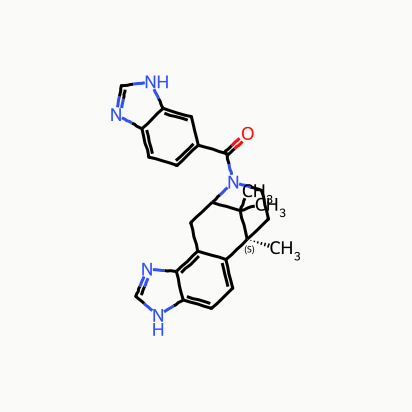 CC1(C)C2Cc3c(ccc4[nH]cnc34)[C@]1(C)CCN2C(=O)c1ccc2nc[nH]c2c1